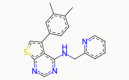 Cc1ccc(-c2csc3ncnc(NCc4ccccn4)c23)cc1C